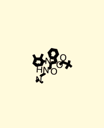 Cc1cccc(-n2c(C(=O)NCCN(C)C)c(OC(=O)C(C)(C)C)c3ccccc32)c1C